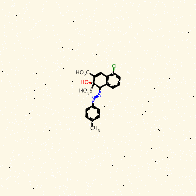 Cc1ccc(N=NC2c3cccc(Cl)c3C=C(C(=O)O)C2(O)S(=O)(=O)O)cc1